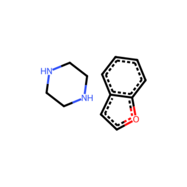 C1CNCCN1.c1ccc2occc2c1